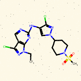 CS(=O)(=O)N1CCC(n2cc(Nc3ncc4c(Cl)nn(CC(F)(F)F)c4n3)c(Cl)n2)CC1